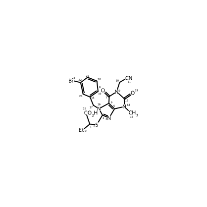 CCC(Sc1nc2c(c(=O)n(CC#N)c(=O)n2C)n1Cc1cccc(Br)c1)C(=O)O